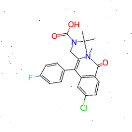 Cn1c(CN(C(=O)O)C(C)(C)C)c(-c2ccc(F)cc2)c2cc(Cl)ccc2c1=O